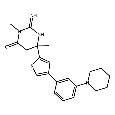 CN1C(=N)NC(C)(c2cc(-c3cccc(N4CCCCC4)c3)cs2)CC1=O